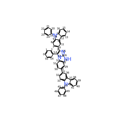 c1ccc(-c2c(-c3ccc4c(c3)c3ccccc3n4-c3ccccc3)nc3[nH]c4cc(-c5ccc6c(c5)c5ccccc5n6-c5ccccc5)ccc4n23)cc1